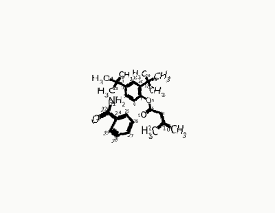 CC(C)CC(=O)Oc1ccc(C(C)(C)C)cc1C(C)(C)C.NC(=O)c1ccccc1